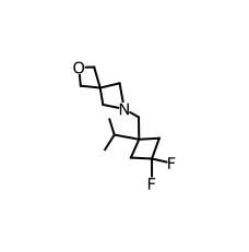 CC(C)C1(CN2CC3(COC3)C2)CC(F)(F)C1